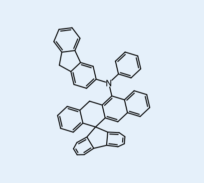 c1ccc(N(c2ccc3c(c2)-c2ccccc2C3)c2c3c(cc4ccccc24)C2(c4ccccc4C3)c3ccccc3-c3ccccc32)cc1